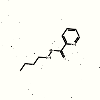 CCCCNNC(=O)c1ccccn1